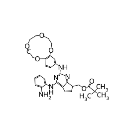 CC(C)(C)C(=O)OCC1C=Cc2c(Nc3ccccc3N)nc(Nc3ccc4c(c3)OCCOCCOCCO4)nc21